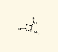 CCN1C[C@@H](N)[C@H](NC(C)C)C1